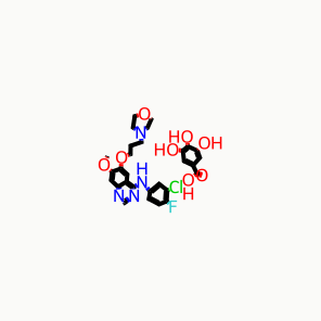 COc1cc2ncnc(Nc3ccc(F)c(Cl)c3)c2cc1OCCCN1CCOCC1.O=C(O)c1cc(O)c(O)c(O)c1